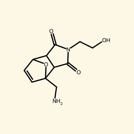 NCC12C=CC(O1)C1C(=O)N(CCO)C(=O)C12